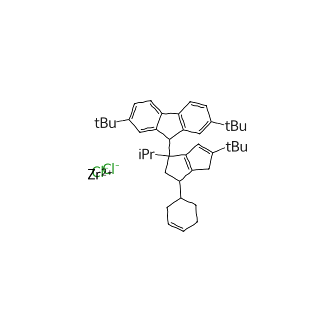 CC(C)C1(C2c3cc(C(C)(C)C)ccc3-c3ccc(C(C)(C)C)cc32)CC(C2CC=CCC2)C2=C1C=C(C(C)(C)C)C2.[Cl-].[Cl-].[Zr+2]